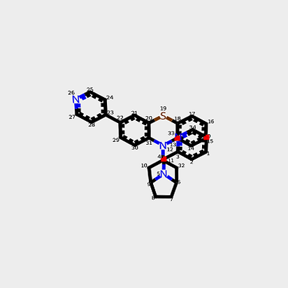 c1ccc(CN2C3CCC2CC(N2c4ccccc4Sc4cc(-c5ccncc5)ccc42)C3)nc1